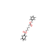 O=C(CCCCCOC(=O)c1ccccc1)OCc1ccccc1